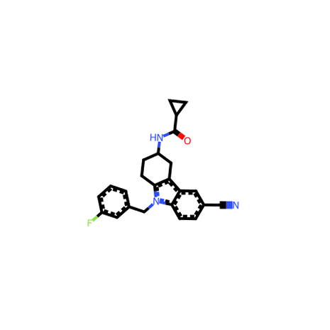 N#Cc1ccc2c(c1)c1c(n2Cc2cccc(F)c2)CCC(NC(=O)C2CC2)C1